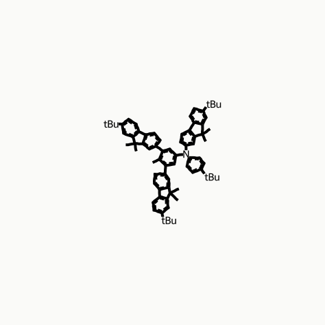 Cc1c(-c2ccc3c(c2)C(C)(C)c2cc(C(C)(C)C)ccc2-3)cc(N(c2ccc(C(C)(C)C)cc2)c2ccc3c(c2)C(C)(C)c2cc(C(C)(C)C)ccc2-3)cc1-c1ccc2c(c1)C(C)(C)c1cc(C(C)(C)C)ccc1-2